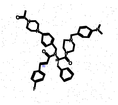 CC(=O)N1CCN(c2ccc(CN(C(=O)/C=C/c3ccc(F)cc3)[C@@H](Cc3ccccc3)C(=O)N3CCN(Cc4ccc(N(C)C)cc4)CC3)cc2)CC1